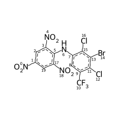 O=[N+]([O-])c1cc([N+](=O)[O-])c(Nc2cc(C(F)(F)F)c(Cl)c(Br)c2Cl)c([N+](=O)[O-])c1